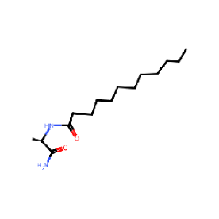 CCCCCCCCCCCC(=O)N[C@H](C)C(N)=O